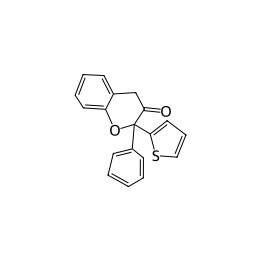 O=C1Cc2ccccc2OC1(c1ccccc1)c1cccs1